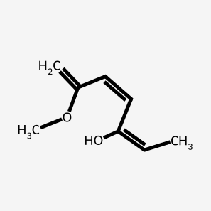 C=C(/C=C\C(O)=C/C)OC